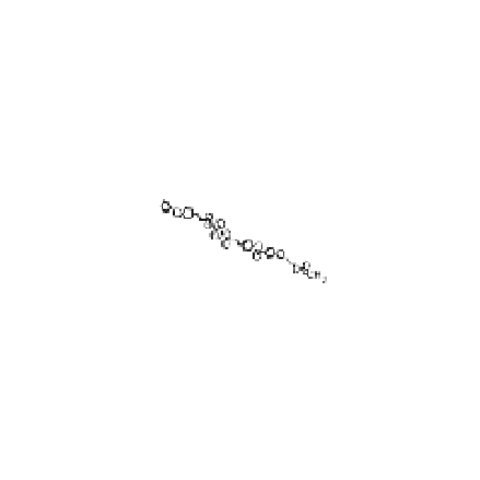 C=CC(=O)OCCCCOc1ccc(C(=O)Oc2ccc(/C=C/C(=O)O[C@@H]3COC4C3OC[C@H]4OC(=O)/C=C/c3ccc(OCc4ccccc4)cc3)cc2)cc1